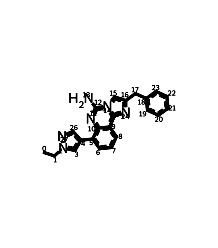 CCn1cc(-c2cccc3c2nc(N)n2cc(Cc4ccccc4)nc32)cn1